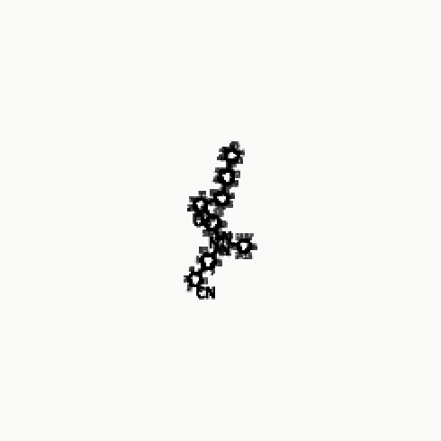 N#Cc1cccc(-c2ccc(-c3nc(-c4ccccc4)nc(-c4ccc5c(c4)oc4cccc(-c6cccc(-c7ccc(-c8ccccc8)cc7)c6)c45)n3)cc2)c1